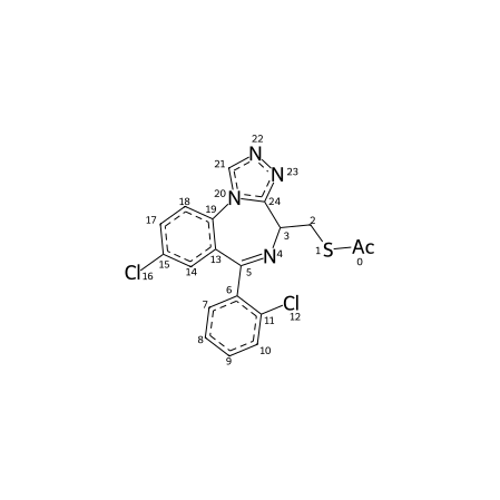 CC(=O)SCC1N=C(c2ccccc2Cl)c2cc(Cl)ccc2-n2cnnc21